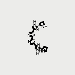 c1[nH]c([C@@H]2CCCN2)nc1-c1cnc(-c2ncc(-c3c[nH]c([C@@H]4CCCN4)n3)s2)s1